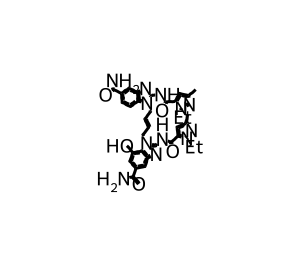 CCn1nc(C)cc1C(=O)Nc1nc2cc(C(N)=O)ccc2n1C/C=C/Cn1c(NC(=O)c2cc(C)nn2CC)nc2cc(C(N)=O)cc(O)c21